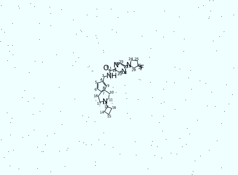 O=C(NCc1ccc2c(c1)CCN(C1CCC1)CC2)c1cnc(N2CCC(F)C2)cn1